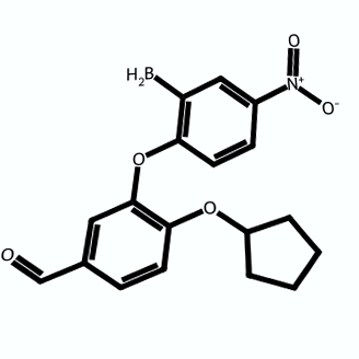 Bc1cc([N+](=O)[O-])ccc1Oc1cc(C=O)ccc1OC1CCCC1